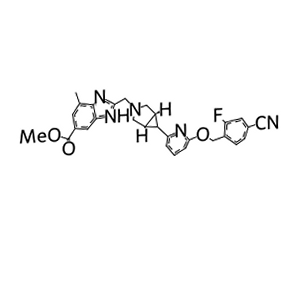 COC(=O)c1cc(C)c2nc(CN3C[C@@H]4C(c5cccc(OCc6ccc(C#N)cc6F)n5)[C@@H]4C3)[nH]c2c1